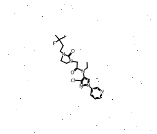 CCN(C(=O)CN1CCN(CCC(C)(F)F)C1=O)c1cn(-c2cccnc2)nc1Cl